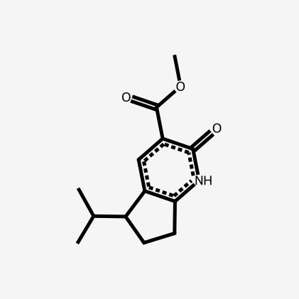 COC(=O)c1cc2c([nH]c1=O)CCC2C(C)C